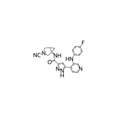 N#CN1CC2C[C@]2(NC(=O)c2cc(-c3ccncc3Nc3ccc(F)cc3)[nH]n2)C1